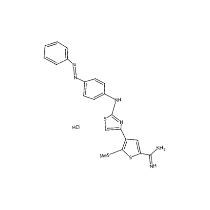 CSc1sc(C(=N)N)cc1-c1csc(Nc2ccc(N=Nc3ccccc3)cc2)n1.Cl